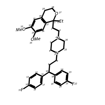 CCC1(CCN2CCN(CCC(c3ccc(F)cc3)c3ccc(F)cc3)CC2)OCCc2cc(OC)c(OC)cc21